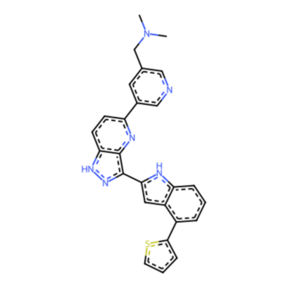 CN(C)Cc1cncc(-c2ccc3[nH]nc(-c4cc5c(-c6cccs6)cccc5[nH]4)c3n2)c1